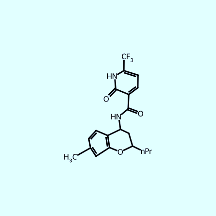 CCCC1CC(NC(=O)c2ccc(C(F)(F)F)[nH]c2=O)c2ccc(C)cc2O1